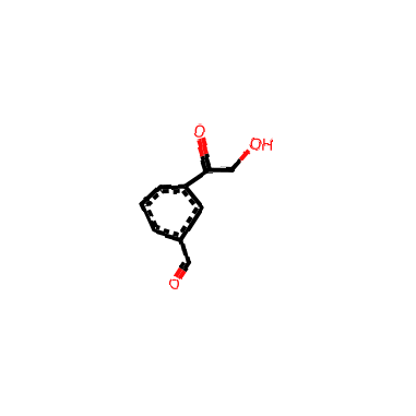 O=Cc1cccc(C(=O)CO)c1